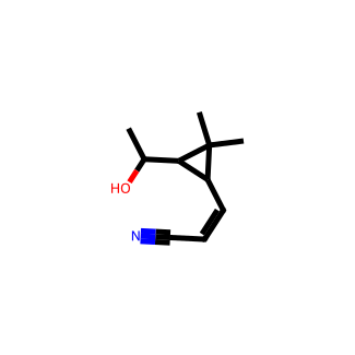 CC(O)C1C(/C=C\C#N)C1(C)C